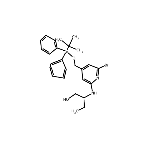 CC[C@@H](CO)Nc1cc(CO[Si](c2ccccc2)(c2ccccc2)C(C)(C)C)cc(Br)n1